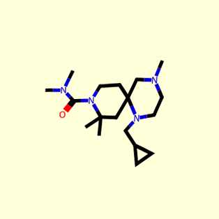 CN1CCN(CC2CC2)C2(CCN(C(=O)N(C)C)C(C)(C)C2)C1